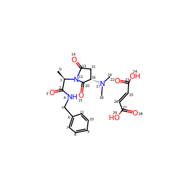 C[C@H](C(=O)NCc1ccccc1)N1C(=O)C[C@H](N(C)C)C1=O.O=C(O)/C=C/C(=O)O